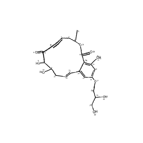 CC1C/C=C\C(=O)C(O)C(O)C/C=C/c2cc(OCC(O)CO)cc(O)c2C(=O)O1